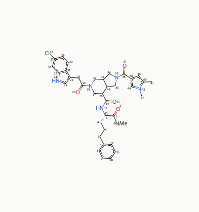 CNC(=O)[C@H](CCCc1ccccc1)NC(=O)C1CN(C(=O)Cc2c[nH]c3cc(Cl)ccc23)CC2CN(C(=O)c3cc(C)n(C)c3)CC21